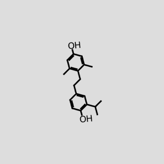 Cc1cc(O)cc(C)c1CCc1ccc(O)c(C(C)C)c1